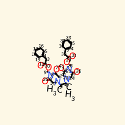 CC(C(C)N1CC(=O)N(COC(=O)Cc2ccccc2)C(=O)C1)N1CC(=O)N(COC(=O)Cc2ccccc2)C(=O)C1